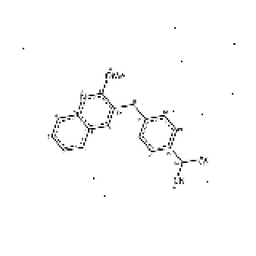 COc1nc2ccccc2cc1Cc1ccc(C(C#N)C(C)=O)cc1